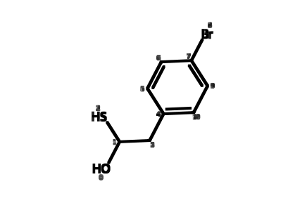 OC(S)Cc1ccc(Br)cc1